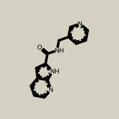 O=C(NCc1cccnc1)c1cc2cccnc2[nH]1